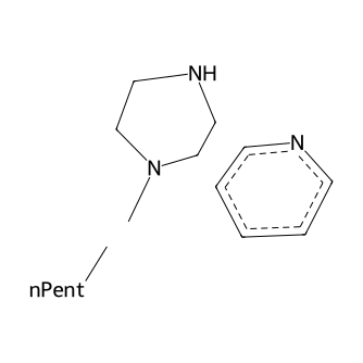 CCCCCC.CN1CCNCC1.c1ccncc1